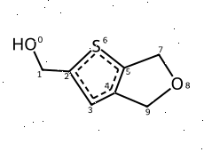 OCc1cc2c(s1)COC2